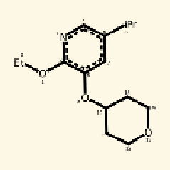 CCOc1ncc(C(C)C)cc1OC1CCOCC1